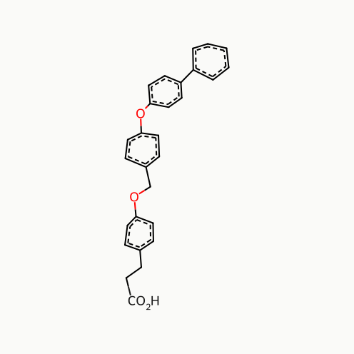 O=C(O)CCc1ccc(OCc2ccc(Oc3ccc(-c4ccccc4)cc3)cc2)cc1